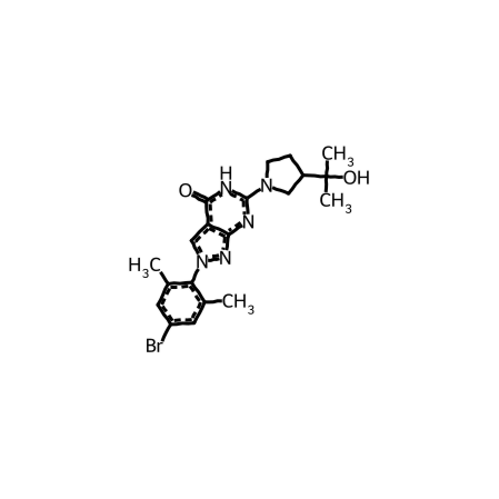 Cc1cc(Br)cc(C)c1-n1cc2c(=O)[nH]c(N3CCC(C(C)(C)O)C3)nc2n1